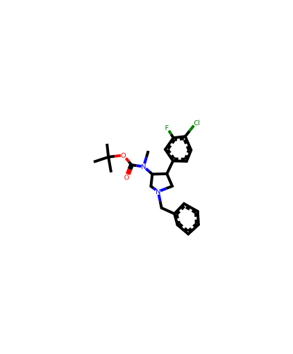 CN(C(=O)OC(C)(C)C)C1CN(Cc2ccccc2)CC1c1ccc(Cl)c(F)c1